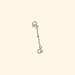 C(=C\CCCCOC1CCCCO1)/CCCCCOC1CCCCO1